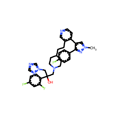 Cn1cc(-c2ccncc2CCC2CCN(CC(O)(Cn3cncn3)c3ccc(F)cc3F)CC2)c(-c2ccc(F)cc2)n1